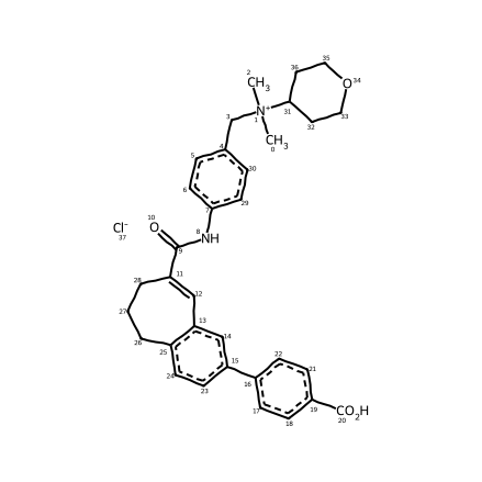 C[N+](C)(Cc1ccc(NC(=O)C2=Cc3cc(-c4ccc(C(=O)O)cc4)ccc3CCC2)cc1)C1CCOCC1.[Cl-]